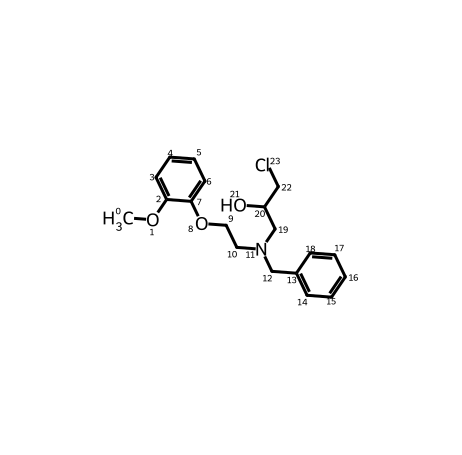 COc1ccccc1OCCN(Cc1ccccc1)CC(O)CCl